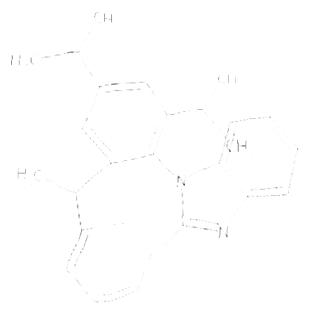 CC(C)c1cc(C(C)C)c2c(c1)C(C)c1cccc(c1)-c1nc3ccccc3n1-2